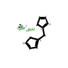 Br.Br.C1=CCC(CC2=CC=CC2)=C1.[Zr]